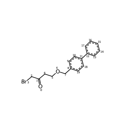 O=C(CBr)CCOCc1ccc(-c2ccccc2)cc1